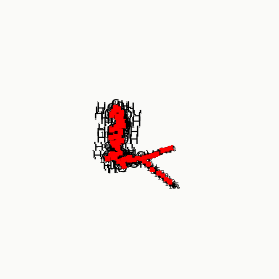 CCCCCCCCCCCCC/C=C/[C@@H](O)[C@H](CO[C@@H]1OC(CO)[C@@H](O[C@@H]2OC(CO)[C@H](O)[C@H](O[C@@H]3OC(CO)[C@@H](O[C@@H]4OC(CO)[C@H](O)[C@H](O[C@@H]5OC(CO)[C@@H](O[C@@H]6OC(CO)[C@H](O)[C@H](O[C@@H]7OC(CO)[C@@H](O[C@@H]8OC(CO)[C@H](O)[C@H](O)C8O)[C@H](O)C7NC(C)=O)C6O)[C@H](O)C5NC(C)=O)C4O)[C@H](O)C3NC(C)=O)C2O)[C@H](O)C1O)NC(=O)CCCCCCCCCCCCCCCCC